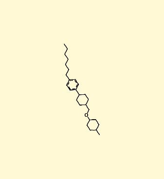 CCCCCCCc1ccc(C2CCC(COC3CCC(C)CC3)CC2)cc1